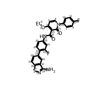 CCOc1ccn(-c2ccc(F)cc2)c(=O)c1C(=O)Nc1ccc(-c2ccc3snc(N)c3c2)c(F)c1